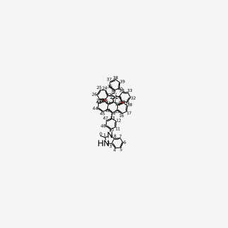 CC1Nc2ccccc2N1c1ccc(-c2c3ccccc3c([Si](c3ccccc3)(c3ccccc3)c3ccccc3)c3ccccc23)cc1